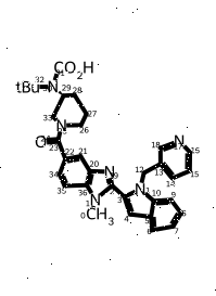 Cn1c(-c2cc3ccccc3n2Cc2cccnc2)nc2cc(C(=O)N3CCC[C@@H](N(C(=O)O)C(C)(C)C)C3)ccc21